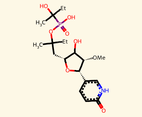 CCC(C)(C[C@H]1O[C@@H](c2ccc(=O)[nH]c2)[C@@H](OC)C1O)OP(=O)(O)C(C)(O)CC